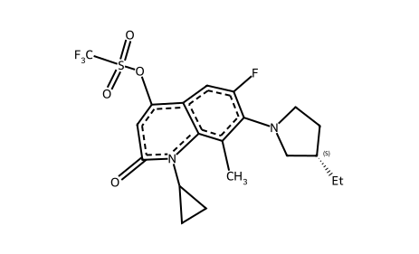 CC[C@H]1CCN(c2c(F)cc3c(OS(=O)(=O)C(F)(F)F)cc(=O)n(C4CC4)c3c2C)C1